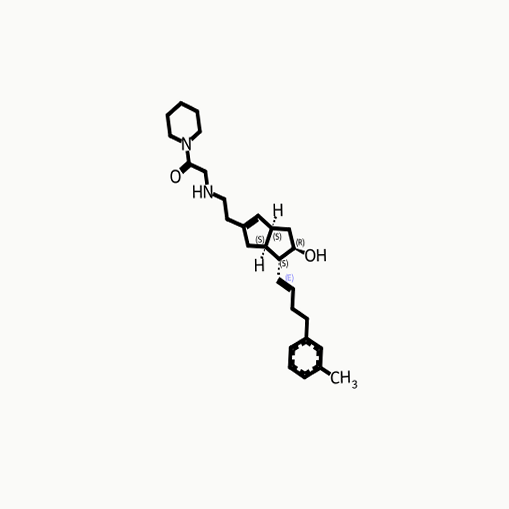 Cc1cccc(CC/C=C/[C@@H]2[C@H]3CC(CCNCC(=O)N4CCCCC4)=C[C@H]3C[C@H]2O)c1